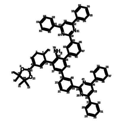 CC1CC=C(B2OC(C)(C)C(C)(C)O2)C=C1c1cc(-c2cccc(-c3nc(-c4ccccc4)cc(-c4ccccc4)n3)c2)cc(-c2cccc(-c3nc(-c4ccccc4)cc(-c4ccccc4)n3)c2)c1N